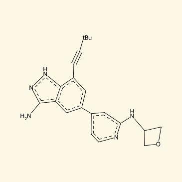 CC(C)(C)C#Cc1cc(-c2ccnc(NC3COC3)c2)cc2c(N)n[nH]c12